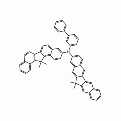 CC1(C)c2cc3ccccc3cc2-c2cc3ccc(N(c4cccc(-c5ccccc5)c4)c4ccc5c6c(ccc5c4)-c4ccc5ccccc5c4C6(C)C)cc3cc21